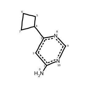 Nc1cc(C2CCC2)ncn1